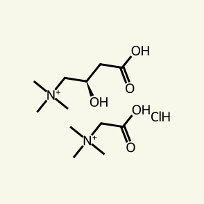 C[N+](C)(C)CC(=O)O.C[N+](C)(C)C[C@H](O)CC(=O)O.Cl